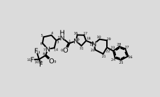 O=C(NC1CCCN(C(=O)C(F)(F)F)C1)N1CCC(N2CCC(c3ccccc3)CC2)C1